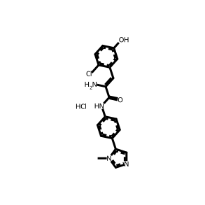 Cl.Cn1cncc1-c1ccc(NC(=O)/C(N)=C/c2cc(O)ccc2Cl)cc1